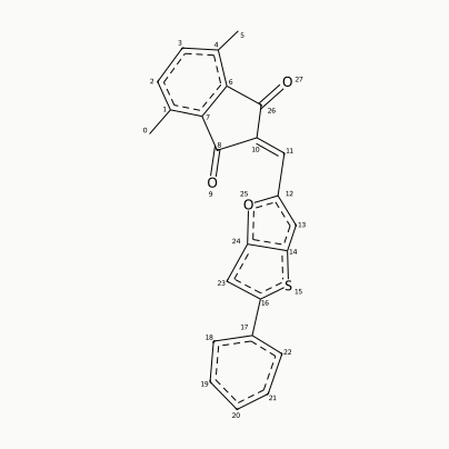 Cc1ccc(C)c2c1C(=O)C(=Cc1cc3sc(-c4ccccc4)cc3o1)C2=O